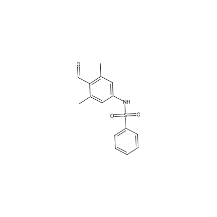 Cc1cc(NS(=O)(=O)c2ccccc2)cc(C)c1C=O